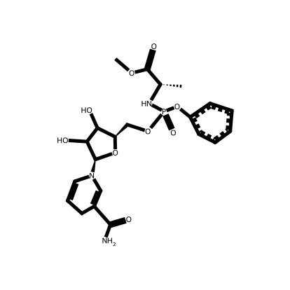 COC(=O)[C@H](C)NP(=O)(OC[C@H]1O[C@@H](N2C=CCC(C(N)=O)=C2)C(O)C1O)Oc1ccccc1